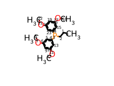 CCCP(c1cc(OC)cc(OC)c1)c1cc(OC)cc(OC)c1